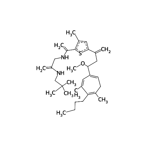 C=C(CNC(=C)c1sc(C(=C)CC(OC)C2=CCC(C)=C(CCCC)C(C)=C2)cc1C)NCC(C)(C)C